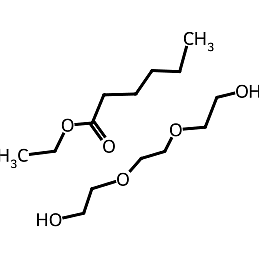 CCCCCC(=O)OCC.OCCOCCOCCO